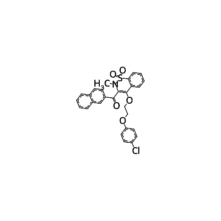 CN1C(C(=O)c2ccc3ccccc3c2)=C(OCCOc2ccc(Cl)cc2)c2ccccc2S1(=O)=O